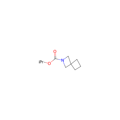 CC(C)OC(=O)N1CC2(CCC2)C1